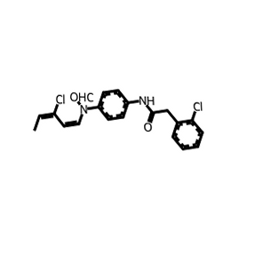 C/C=C(Cl)\C=C/N(C=O)c1ccc(NC(=O)Cc2ccccc2Cl)cc1